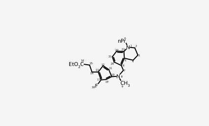 CCCN1CCCc2c(CN(C)c3ccc(CCC(=O)OCC)c(F)c3)cccc21